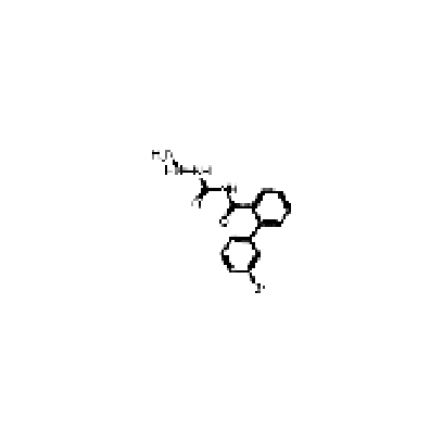 NNNC(=O)NC(=O)c1ccccc1-c1cccc(Br)c1